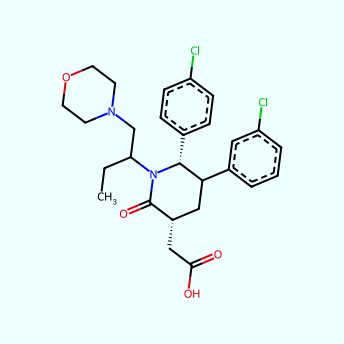 CCC(CN1CCOCC1)N1C(=O)[C@@H](CC(=O)O)CC(c2cccc(Cl)c2)[C@H]1c1ccc(Cl)cc1